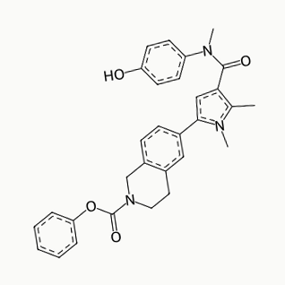 Cc1c(C(=O)N(C)c2ccc(O)cc2)cc(-c2ccc3c(c2)CCN(C(=O)Oc2ccccc2)C3)n1C